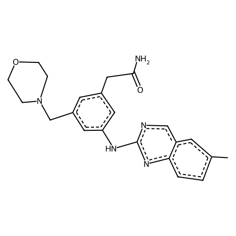 Cc1ccc2nc(Nc3cc(CC(N)=O)cc(CN4CCOCC4)c3)ncc2c1